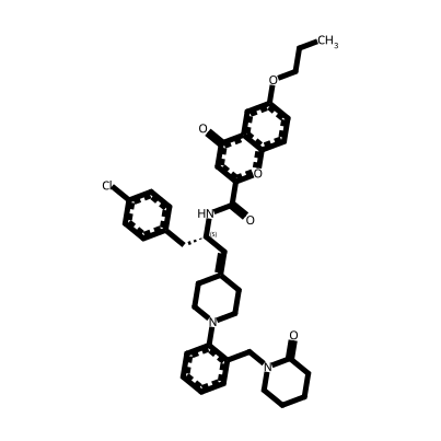 CCCOc1ccc2oc(C(=O)N[C@H](C=C3CCN(c4ccccc4CN4CCCCC4=O)CC3)Cc3ccc(Cl)cc3)cc(=O)c2c1